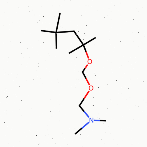 CN(C)COCOC(C)(C)CC(C)(C)C